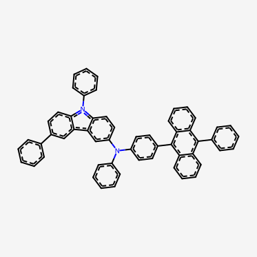 c1ccc(-c2ccc3c(c2)c2cc(N(c4ccccc4)c4ccc(-c5c6ccccc6c(-c6ccccc6)c6ccccc56)cc4)ccc2n3-c2ccccc2)cc1